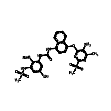 COc1c(NC(=O)Nc2ccc(Oc3nc(S(C)(=O)=O)nc(C)c3N)c3ccccc23)cc(C(C)(C)C)cc1NS(C)(=O)=O